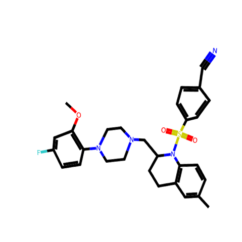 COc1cc(F)ccc1N1CCN(CC2CCc3cc(C)ccc3N2S(=O)(=O)c2ccc(C#N)cc2)CC1